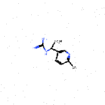 N#Cc1ccc(C(NC(=N)N)C(=O)O)cn1